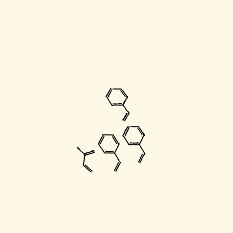 C=CC(=C)C.C=Cc1ccccc1.C=Cc1ccccc1.C=Cc1ccccc1